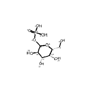 O=P(O)(O)OC1O[C@H](CO)[C@H](O)[C@H](O)[C@H]1O